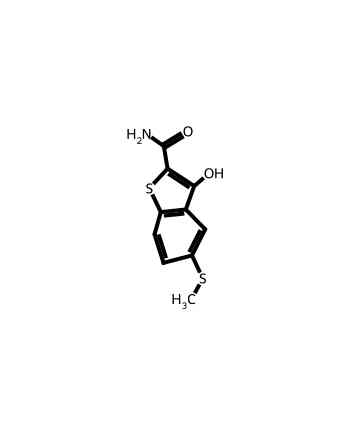 CSc1ccc2sc(C(N)=O)c(O)c2c1